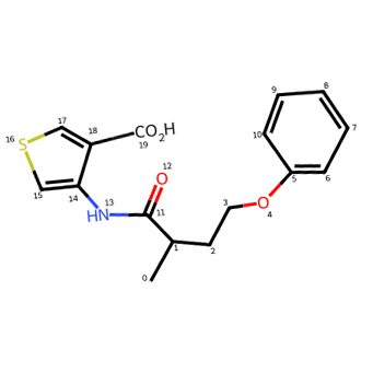 CC(CCOc1ccccc1)C(=O)Nc1cscc1C(=O)O